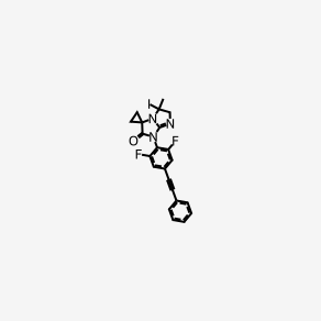 CC1(I)CN=C2N(c3c(F)cc(C#Cc4ccccc4)cc3F)C(=O)C3(CC3)N21